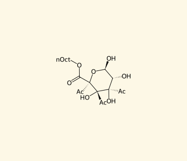 CCCCCCCCOC(=O)[C@@]1(C(C)=O)O[C@@H](O)[C@H](O)[C@](O)(C(C)=O)[C@@]1(O)C(C)=O